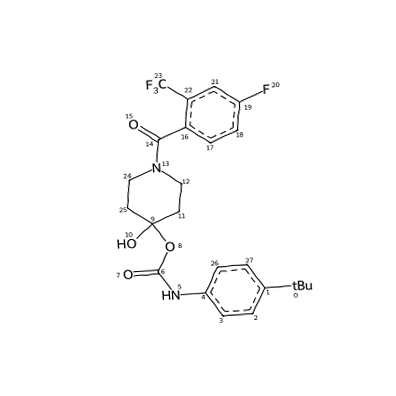 CC(C)(C)c1ccc(NC(=O)OC2(O)CCN(C(=O)c3ccc(F)cc3C(F)(F)F)CC2)cc1